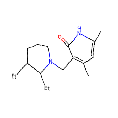 CCC1CCCN(Cc2c(C)cc(C)[nH]c2=O)C1CC